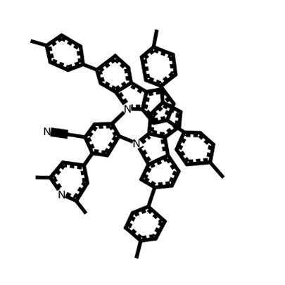 Cc1ccc(-c2ccc3c4ccc(-c5ccc(C)cc5)cc4n(-c4cc(C#N)c(-c5cc(C)nc(C)c5)cc4-n4c5cc(-c6ccc(C)cc6)ccc5c5ccc(-c6ccc(C)cc6)cc54)c3c2)cc1